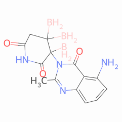 BC1(B)CC(=O)NC(=O)C1(B)n1c(C)nc2cccc(N)c2c1=O